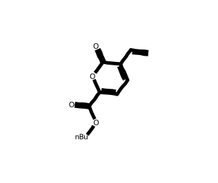 C=Cc1ccc(C(=O)OCCCC)oc1=O